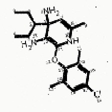 CCC(CC)C1(N)C=C(C)NC(Oc2c(C)cc(Cl)cc2C)=C1N